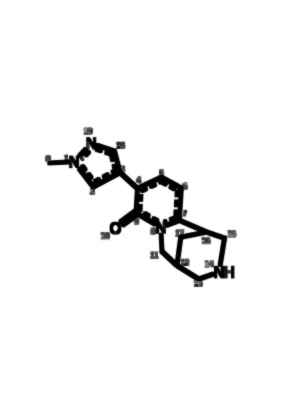 Cn1cc(-c2ccc3n(c2=O)CC2CNCC3C2)cn1